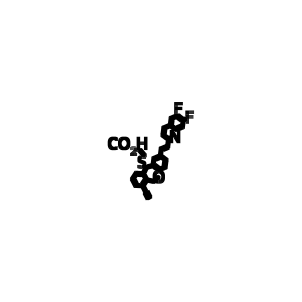 C#Cc1cccc2c1COc1ccc(C=Cc3ccc4cc(F)c(F)cc4n3)cc1C2SCCC(=O)O